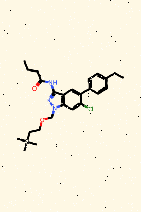 CCCC(=O)Nc1nn(COCC[Si](C)(C)C)c2cc(Cl)c(-c3ccc(CC)cc3)cc12